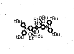 CCCCC(CC)C(=O)NC1=CC(=[N+](c2ccc(C(C)(C)C)cc2)c2ccc(C(C)(C)C)cc2)C=C/C1=C1\C(=O)C(c2ccc(N(c3ccc(C(C)(C)C)cc3)c3ccc(C(C)(C)C)cc3)cc2NC(=O)C(CC)CCCC)=C1[O-]